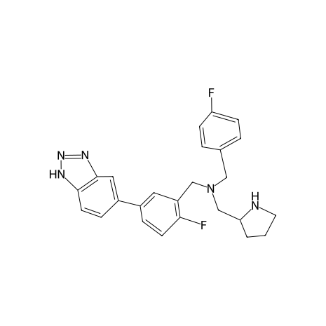 Fc1ccc(CN(Cc2cc(-c3ccc4[nH]nnc4c3)ccc2F)CC2CCCN2)cc1